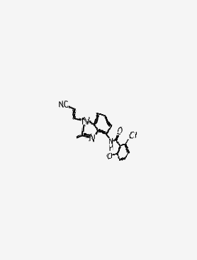 Cc1nc2c(NC(=O)c3c(Cl)cccc3Cl)cccc2n1CCC#N